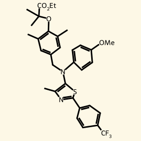 CCOC(=O)C(C)(C)Oc1c(C)cc(CN(c2ccc(OC)cc2)c2sc(-c3ccc(C(F)(F)F)cc3)nc2C)cc1C